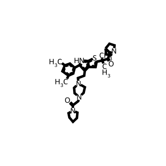 Cc1cc(C)cc(-c2[nH]c3sc(C(C)(C)C(=O)C4C5CCN4CC5)cc3c2CCN2CCN(CC(=O)N3CCCCC3)CC2)c1